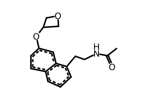 CC(=O)NCCc1cccc2ccc(OC3COC3)cc12